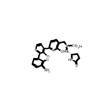 COc1nc(-c2ccnc(-c3cccc(N)c3Cl)c2Cl)ccc1CN(C[C@@H]1CCC(=O)N1)C(=O)O